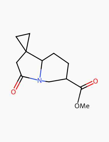 COC(=O)C1CCC2N(C1)C(=O)CC21CC1